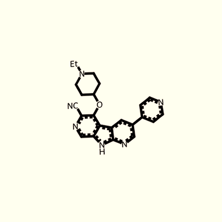 CCN1CCC(Oc2c(C#N)ncc3[nH]c4ncc(-c5ccncc5)cc4c23)CC1